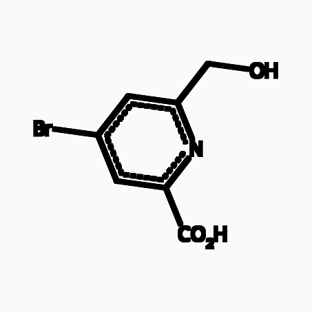 O=C(O)c1cc(Br)cc(CO)n1